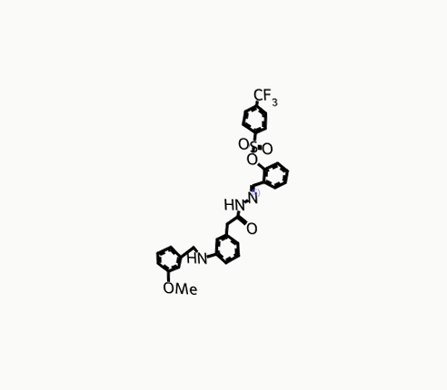 COc1cccc(CNc2cccc(CC(=O)N/N=C/c3ccccc3OS(=O)(=O)c3ccc(C(F)(F)F)cc3)c2)c1